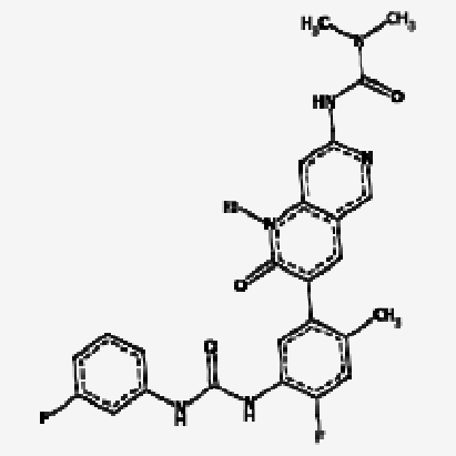 CCn1c(=O)c(-c2cc(NC(=O)Nc3cccc(F)c3)c(F)cc2C)cc2cnc(NC(=O)N(C)C)cc21